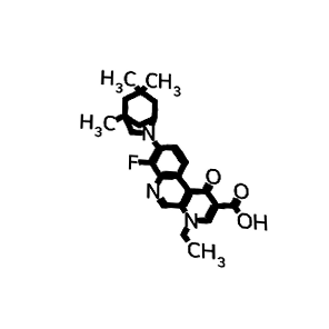 CCn1cc(C(=O)O)c(=O)c2c3ccc(N4CC5(C)CC4CC(C)(C)C5)c(F)c3ncc21